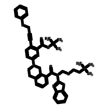 CC(C)(C)OC(=O)c1nc(N2CCc3cccc(C(=O)N(COCC[Si](C)(C)C)c4nc5ccccc5s4)c3C2)ccc1C#CCOc1ccccc1